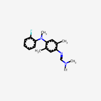 CCN(C)C=Nc1cc(C)c(N(C)c2ccccc2F)cc1C